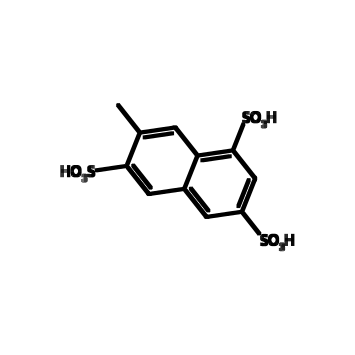 Cc1cc2c(S(=O)(=O)O)cc(S(=O)(=O)O)cc2cc1S(=O)(=O)O